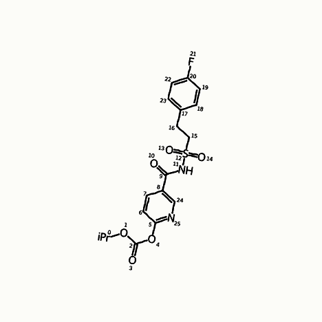 CC(C)OC(=O)Oc1ccc(C(=O)NS(=O)(=O)CCc2ccc(F)cc2)cn1